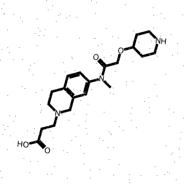 CN(C(=O)COC1CCNCC1)c1ccc2c(c1)CN(CCC(=O)O)CC2